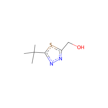 CC(C)(C)c1nnc(CO)s1